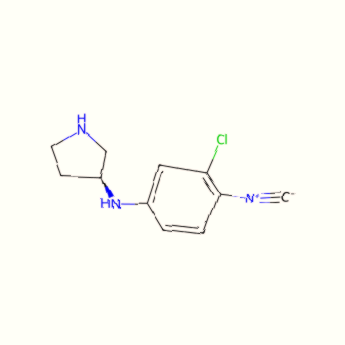 [C-]#[N+]c1ccc(N[C@H]2CCNC2)cc1Cl